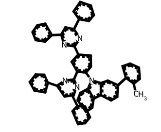 Cc1ccccc1-c1ccc2c3ccccc3n(-c3ccc(-c4nc(-c5ccccc5)cc(-c5ccccc5)n4)cc3-c3nc(-c4ccccc4)cc(-c4ccccc4)n3)c2c1